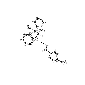 CC(C)(CCCOc1ccc([N+](=O)[O-])nc1)[Si](O)(c1ccccc1)c1ccccc1